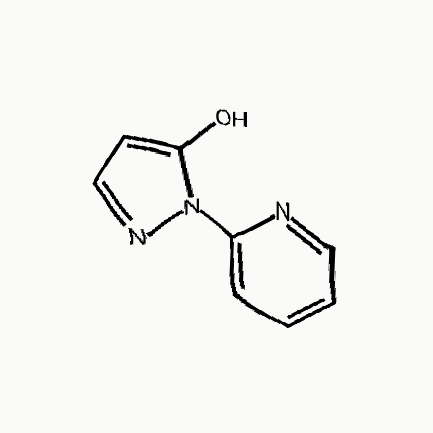 Oc1ccnn1-c1ccccn1